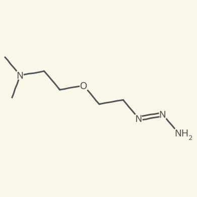 CN(C)CCOCCN=NN